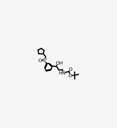 CC(C)(C)OC(=O)NCCC(O)c1cccc([S+]([O-])CC2CCCC2)c1